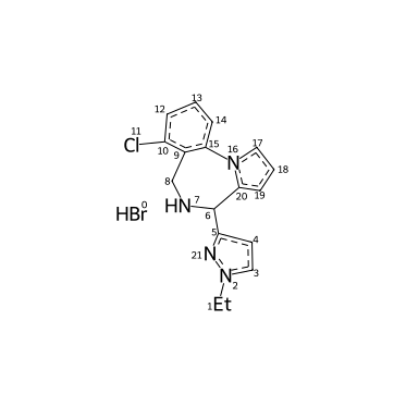 Br.CCn1ccc(C2NCc3c(Cl)cccc3-n3cccc32)n1